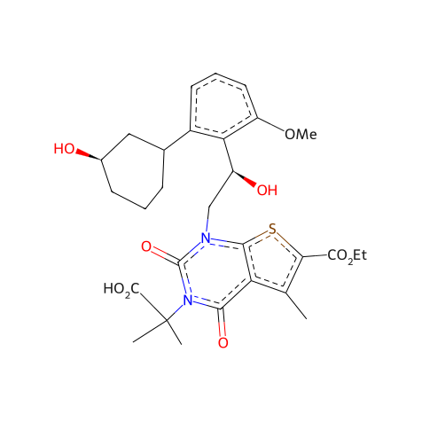 CCOC(=O)c1sc2c(c1C)c(=O)n(C(C)(C)C(=O)O)c(=O)n2C[C@H](O)c1c(OC)cccc1C1CCC[C@@H](O)C1